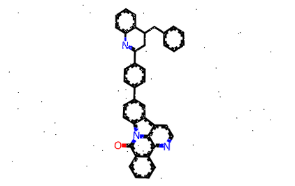 O=c1c2ccccc2c2nccc3c4cc(-c5ccc(C6=Nc7ccccc7C(Cc7ccccc7)C6)cc5)ccc4n1c32